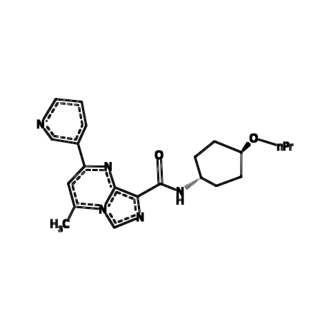 CCCO[C@H]1CC[C@H](NC(=O)c2ncn3c(C)cc(-c4cccnc4)nc23)CC1